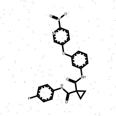 O=C(Nc1ccc(F)cc1)C1(C(=O)Nc2cccc(Oc3ccc([N+](=O)[O-])nc3)c2)CC1